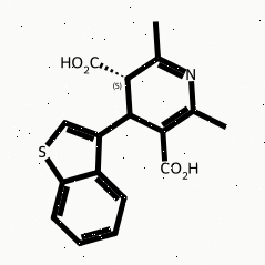 CC1=NC(C)=C(C(=O)O)C(c2csc3ccccc23)[C@@H]1C(=O)O